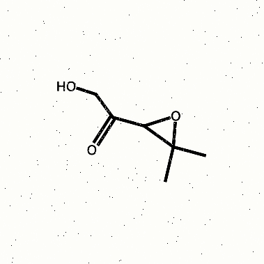 CC1(C)OC1C(=O)CO